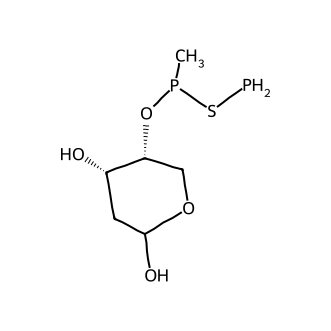 CP(O[C@@H]1COC(O)C[C@@H]1O)SP